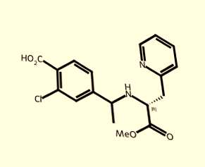 COC(=O)[C@@H](Cc1ccccn1)NC(C)c1ccc(C(=O)O)c(Cl)c1